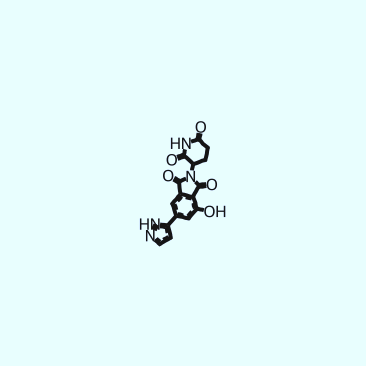 O=C1CCC(N2C(=O)c3cc(-c4ccn[nH]4)cc(O)c3C2=O)C(=O)N1